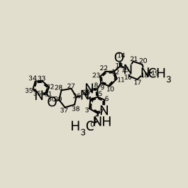 CNc1cc2c(cn1)c(-c1ccc(C(=O)N3CCN(C)CC3)cc1)nn2C1CCC(Oc2ccccn2)CC1